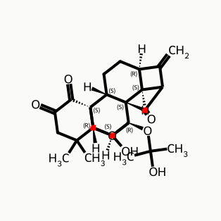 C=C1C2C(=O)[C@]34[C@H]2[C@H]1CC[C@H]3[C@@]12CO[C@]4(OC(C)(C)O)[C@@H](O)[C@@H]1C(C)(C)CC(=O)C2=O